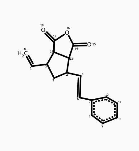 C=CC1CC(C=Cc2ccccc2)C2C(=O)OC(=O)C12